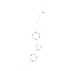 CCc1cc(-c2noc(-c3cnc(CC(C)C)c(C)c3)n2)cc(C)c1OC[C@@H](O)CNC(=O)CO